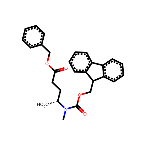 CN(C(=O)OCC1c2ccccc2-c2ccccc21)[C@@H](CCC(=O)OCc1ccccc1)C(=O)O